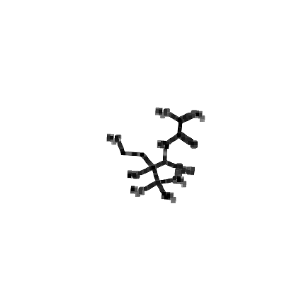 C=C(C)C(=O)NC(O)C(O)(CCC)C(C)(C)N.Cl